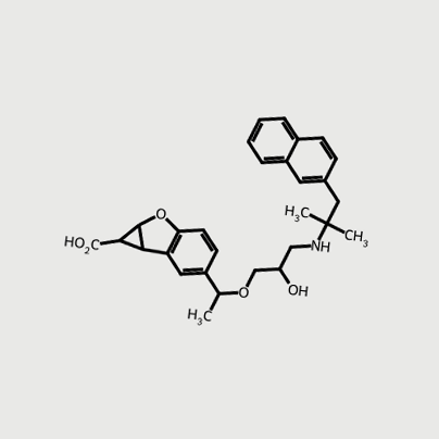 CC(OCC(O)CNC(C)(C)Cc1ccc2ccccc2c1)c1ccc2c(c1)C1C(O2)C1C(=O)O